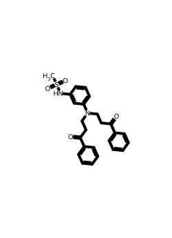 CS(=O)(=O)Nc1cccc(N(CCC(=O)c2ccccc2)CCC(=O)c2ccccc2)c1